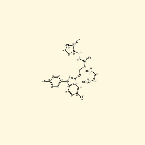 CCN(CCOc1cn(-c2ccc(F)cc2)c2ccc(Cl)cc12)CCN1CCNC1=O.O=C(O)/C=C\C(=O)O